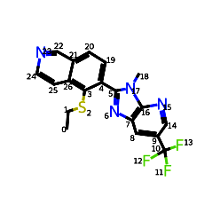 CCSc1c(-c2nc3cc(C(F)(F)F)cnc3n2C)ccc2cnccc12